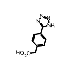 O=C(O)Cc1ccc(-c2nnn[nH]2)cc1